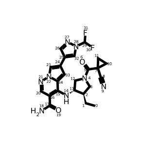 CC[C@@H]1CN(C(=O)C2(C#N)CC2)C[C@H]1Nc1c(C(N)=O)cnn2cc(-c3cnn(C(F)F)c3)cc12